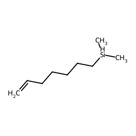 C=CCCCCC[SiH](C)C